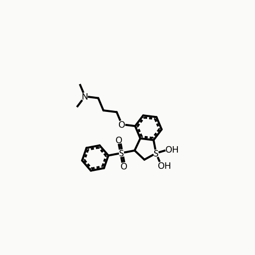 CN(C)CCCOc1cccc2c1C(S(=O)(=O)c1ccccc1)CS2(O)O